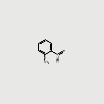 Bc1ccccc1[SH](=O)=O